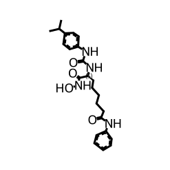 CC(C)c1ccc(NC(=O)N[C@@H](CCCCCC(=O)Nc2ccccc2)C(=O)NO)cc1